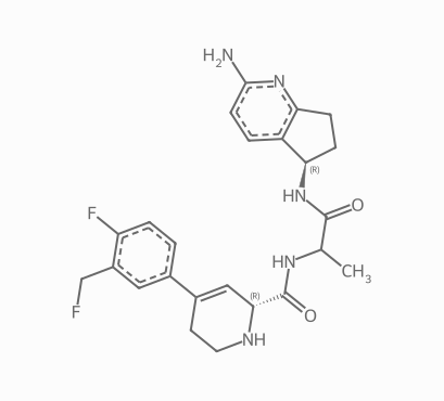 CC(NC(=O)[C@H]1C=C(c2ccc(F)c(CF)c2)CCN1)C(=O)N[C@@H]1CCc2nc(N)ccc21